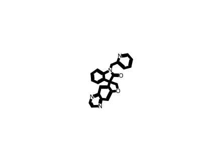 O=C1N(Cc2ccccn2)c2ccccc2C12COc1cc3nccnc3cc12